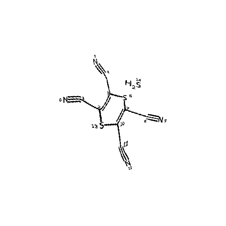 N#CC1=C(C#N)SC(C#N)=C(C#N)S1.S